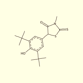 CN1C(=O)C(c2cc(C(C)(C)C)c(O)c(C(C)(C)C)c2)SC1=S